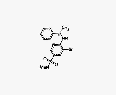 CNS(=O)(=O)c1cnc(N[C@@H](C)c2ccccc2)c(Br)c1